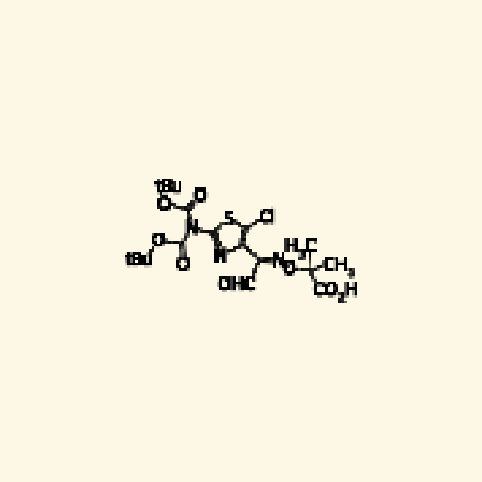 CC(C)(C)OC(=O)N(C(=O)OC(C)(C)C)c1nc(/C(C=O)=N/OC(C)(C)C(=O)O)c(Cl)s1